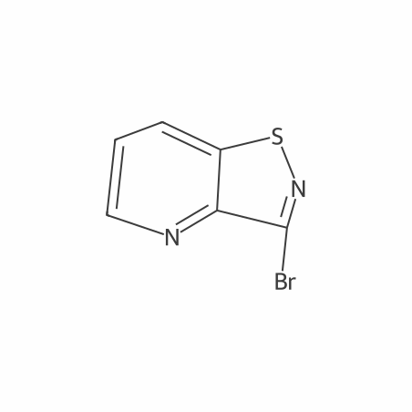 Brc1nsc2cccnc12